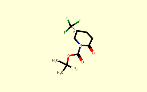 CC(C)(C)OC(=O)N1C[C@H](C(F)(F)F)CCC1=O